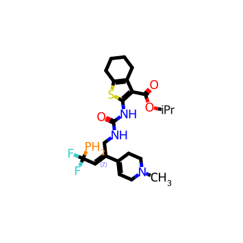 CC(C)OC(=O)c1c(NC(=O)NC/C(=C\C(F)(F)P)C2=CCN(C)CC2)sc2c1CCCC2